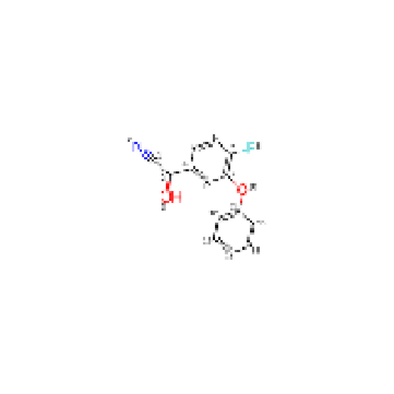 N#C[C@H](O)c1ccc(F)c(Oc2ccccc2)c1